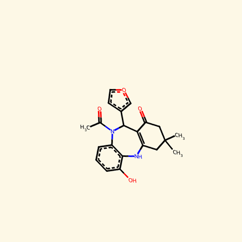 CC(=O)N1c2cccc(O)c2NC2=C(C(=O)CC(C)(C)C2)C1c1ccoc1